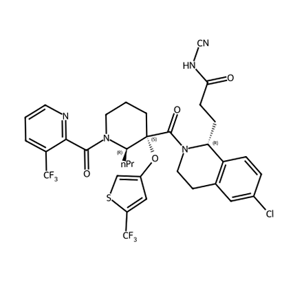 CCC[C@H]1N(C(=O)c2ncccc2C(F)(F)F)CCC[C@@]1(Oc1csc(C(F)(F)F)c1)C(=O)N1CCc2cc(Cl)ccc2[C@H]1CCC(=O)NC#N